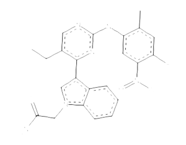 CCc1cnc(Nc2cc([N+](=O)[O-])c(F)cc2C)nc1-c1cn(CC(N)=O)c2ccccc12